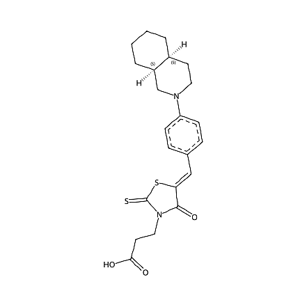 O=C(O)CCN1C(=O)C(=Cc2ccc(N3CC[C@@H]4CCCC[C@@H]4C3)cc2)SC1=S